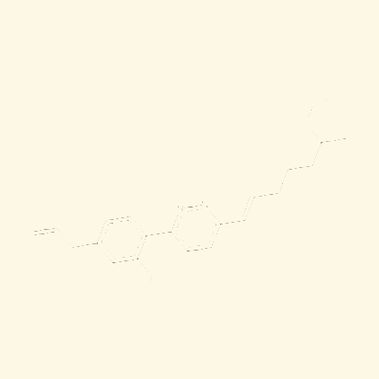 C=CCc1ccc(-c2ccc(/C=C/CCCC(C)OCCCCC)nn2)c(F)c1